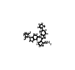 Cc1nnc(C)n1[C@H]1CCc2cc(-n3c(-c4cccnc4N)nc4ccc(-n5cccn5)nc43)ccc21